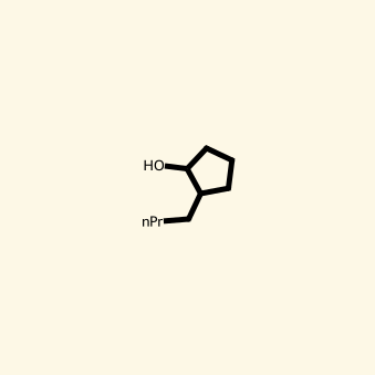 CCCCC1CCCC1O